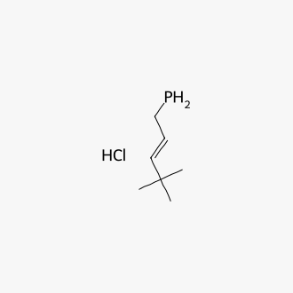 CC(C)(C)C=CCP.Cl